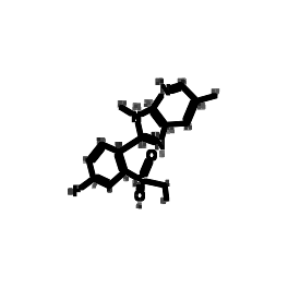 CCS(=O)(=O)c1cc(F)ccc1-c1nc2cc(C)cnc2n1C